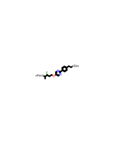 CCCCCCCCCCCCc1ccc(-c2ncc(OCCC(F)C(C)CCCCC)cn2)cc1